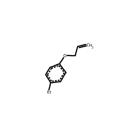 C=CCOc1ccc(CC)cc1